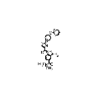 Bc1cc(C(=O)N(C)C)ccc1NC(=O)c1csc(N2CCC(Oc3ncccn3)CC2)n1